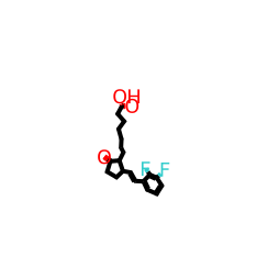 O=C(O)CCCCCCC1C(=O)CCC1C=Cc1cccc(F)c1F